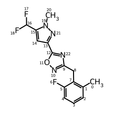 Cc1cccc(F)c1Cc1noc(-c2cc(C(F)F)n(C)n2)n1